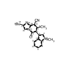 Cc1c(-c2cn(C)c3ccccc23)c(Cl)n2cc(C(C)(C)C)nc2c1C#N